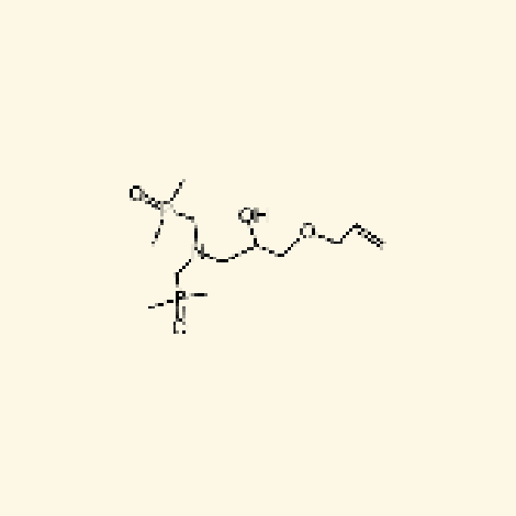 C=CCOCC(O)CN(CP(C)(C)=O)CP(C)(C)=O